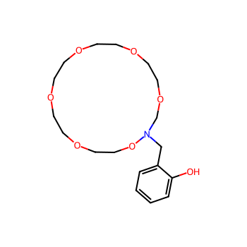 Oc1ccccc1CN1COCCOCCOCCOCCOCCO1